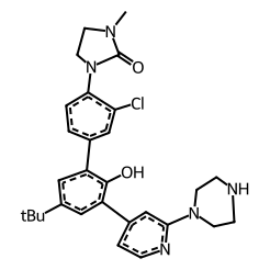 CN1CCN(c2ccc(-c3cc(C(C)(C)C)cc(-c4ccnc(N5CCNCC5)c4)c3O)cc2Cl)C1=O